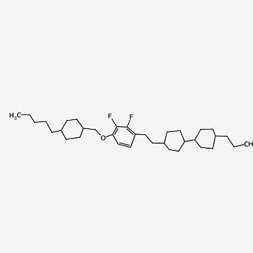 CCCCCC1CCC(COc2ccc(CCC3CCC(C4CCC(CCC)CC4)CC3)c(F)c2F)CC1